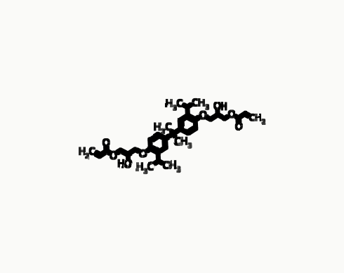 C=CC(=O)OCC(O)COc1ccc(C(C)(C)c2ccc(OCC(O)COC(=O)C=C)c(C(C)C)c2)cc1C(C)C